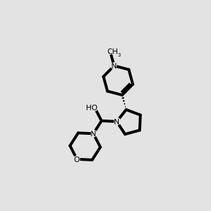 CN1CC=C([C@@H]2CCCN2C(O)N2CCOCC2)CC1